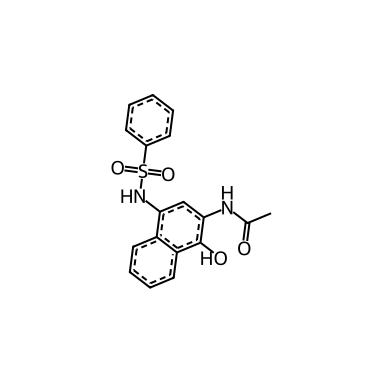 CC(=O)Nc1cc(NS(=O)(=O)c2ccccc2)c2ccccc2c1O